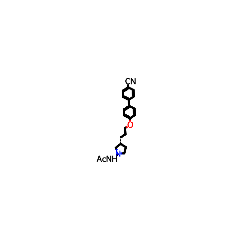 CC(=O)NN1CC[C@@H](CCCOc2ccc(-c3ccc(C#N)cc3)cc2)C1